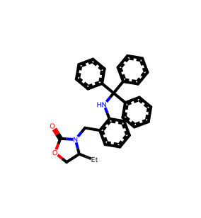 CCC1COC(=O)N1Cc1ccccc1NC(c1ccccc1)(c1ccccc1)c1ccccc1